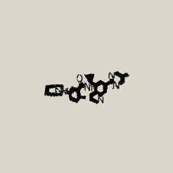 Cc1cnc(-c2cc(C3(NC(=O)c4cc(N5CC6CCC(C5)N6)ccc4C)CC3)c3cccnc3c2)nc1